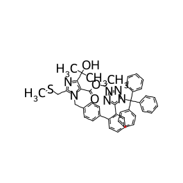 CCOC(=O)c1c(C(C)(C)O)nc(CSC)n1Cc1ccc(-c2ccccc2-c2nnnn2C(c2ccccc2)(c2ccccc2)c2ccccc2)cc1